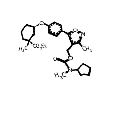 CCOC(=O)[C@@]1(C)CCC[C@@H](Oc2ccc(-c3onc(C)c3COC(=O)N(C)C3CCCC3)cc2)C1